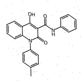 Cc1ccc(-n2c(=O)c(C(=O)Nc3ccccc3)c(O)c3ccccc32)cc1